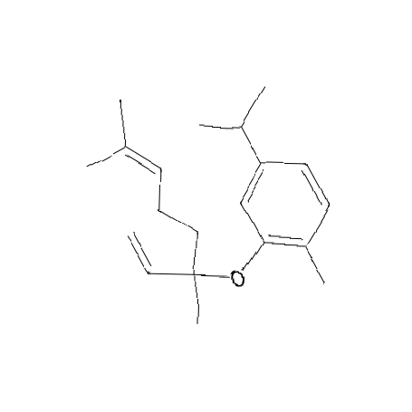 C=CC(C)(CCC=C(C)C)Oc1cc(C(C)C)ccc1C